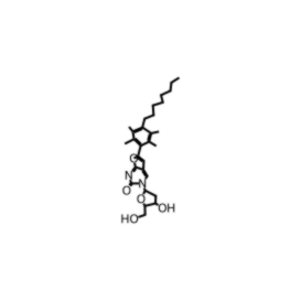 CCCCCCCCc1c(C)c(C)c(-c2cc3cn(C4CC(O)C(CO)O4)c(=O)nc3o2)c(C)c1C